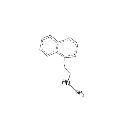 NNCCc1cccc2ccccc12